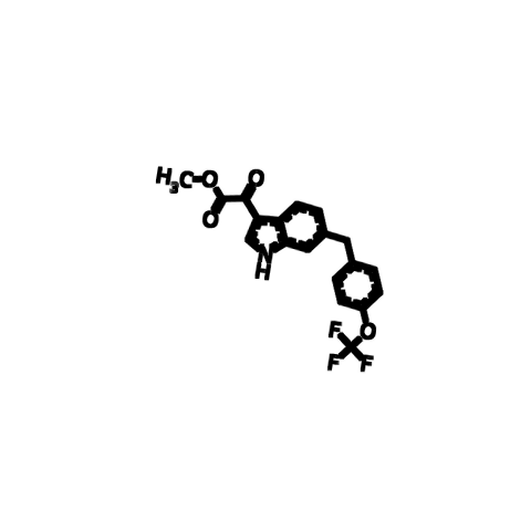 COC(=O)C(=O)c1c[nH]c2cc(Cc3ccc(OC(F)(F)F)cc3)ccc12